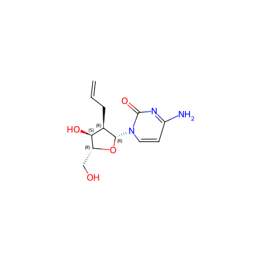 C=CC[C@@H]1[C@H](O)[C@@H](CO)O[C@H]1n1ccc(N)nc1=O